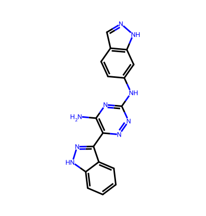 Nc1nc(Nc2ccc3cn[nH]c3c2)nnc1-c1n[nH]c2ccccc12